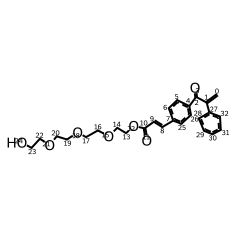 C=C(C(=O)c1ccc(/C=C/C(=O)OCCOCCOCCOCCO)cc1)c1ccccc1